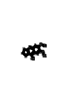 CCOc1cc2nc3c(c(Cl)c2cc1OCC)CCC3